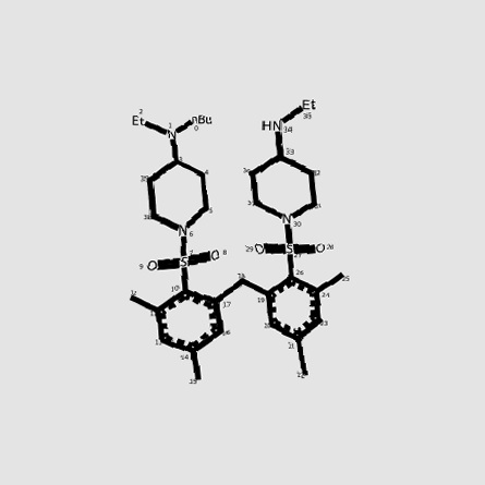 CCCCN(CC)C1CCN(S(=O)(=O)c2c(C)cc(C)cc2Cc2cc(C)cc(C)c2S(=O)(=O)N2CCC(NCC)CC2)CC1